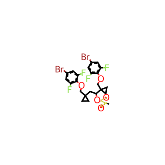 CS(=O)(=O)OC(CC1(COc2c(F)cc(Br)cc2F)CC1)C1(COc2c(F)cc(Br)cc2F)CC1